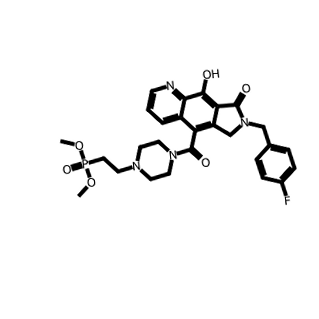 COP(=O)(CCN1CCN(C(=O)c2c3c(c(O)c4ncccc24)C(=O)N(Cc2ccc(F)cc2)C3)CC1)OC